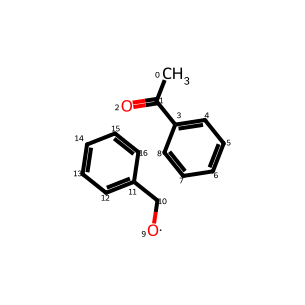 CC(=O)c1ccccc1.[O]Cc1ccccc1